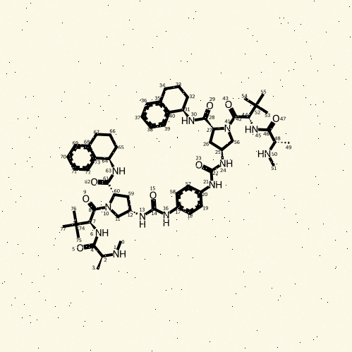 CN[C@@H](C)C(=O)N[C@H](C(=O)N1C[C@@H](NC(=O)Nc2ccc(NC(=O)N[C@H]3C[C@@H](C(=O)N[C@@H]4CCCc5ccccc54)N(C(=O)[C@@H](NC(=O)[C@H](C)NC)C(C)(C)C)C3)cc2)C[C@H]1C(=O)N[C@@H]1CCCc2ccccc21)C(C)(C)C